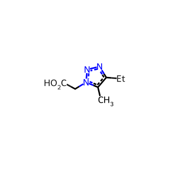 CCc1nnn(CC(=O)O)c1C